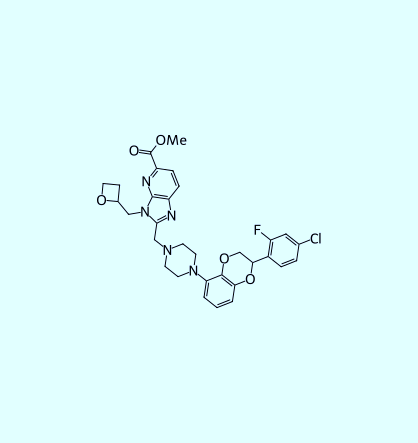 COC(=O)c1ccc2nc(CN3CCN(c4cccc5c4OCC(c4ccc(Cl)cc4F)O5)CC3)n(CC3CCO3)c2n1